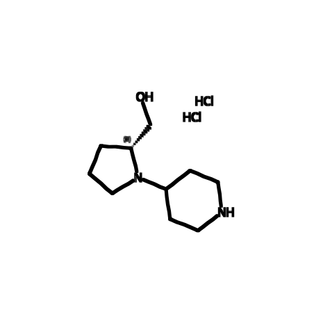 Cl.Cl.OC[C@H]1CCCN1C1CCNCC1